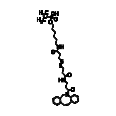 CC(C)P(=O)(O)OCCCCCCNC(=O)CCSSCCC(=O)NCCC(=O)N1Cc2ccccc2/C=C\c2ccccc21